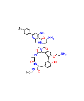 Cc1nc(-c2ccc(C(C)(C)C)cc2)cc(N)c1C(=O)NC(CCN)C(=O)N(C)C1C(=O)NC(C)C(=O)NC(C(=O)NCC#N)Cc2ccc(O)c(c2)-c2cc1ccc2OCCN